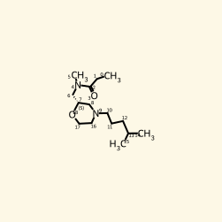 CCC(=O)N(C)C[C@@H]1CN(CCCC(C)C)CCO1